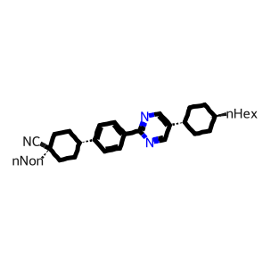 CCCCCCCCC[C@]1(C#N)CC[C@H](c2ccc(-c3ncc([C@H]4CC[C@H](CCCCCC)CC4)cn3)cc2)CC1